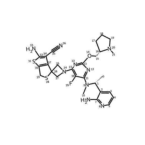 C[C@H](c1cccnc1N)N(C)c1nc(OC[C@@H]2CCCN2C)nc(N2CC3(C2)SCc2sc(N)c(C#N)c23)c1F